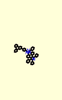 c1ccc(-c2nc(-c3ccc(-c4ccc5c6ccccc6c6ccccc6c5c4)cc3)nc(-c3cccc(-c4c(-c5ccccc5)c(-c5ccccc5)nc(-c5ccccc5)c4-c4ccccc4)c3)n2)cc1